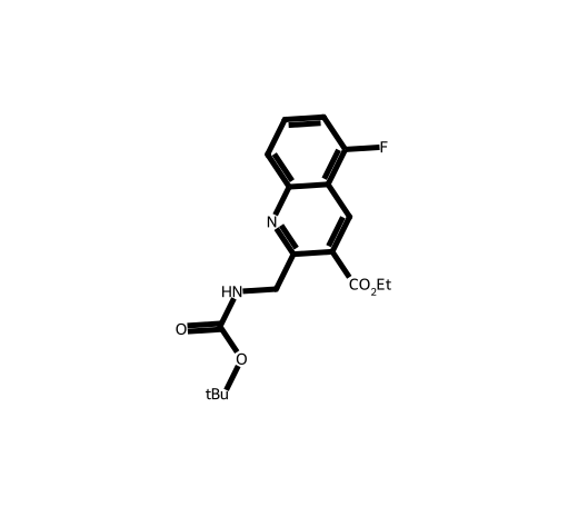 CCOC(=O)c1cc2c(F)cccc2nc1CNC(=O)OC(C)(C)C